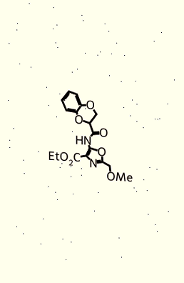 CCOC(=O)c1nc(COC)oc1NC(=O)C1COc2ccccc2O1